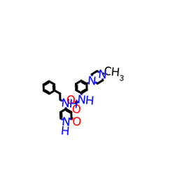 CN1CCN(c2cccc(NC(=O)Oc3c(NCCc4ccccc4)cc[nH]c3=O)c2)CC1